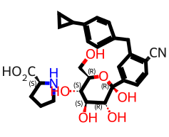 N#Cc1ccc([C@@]2(O)O[C@H](CO)[C@@H](O)[C@H](O)[C@H]2O)cc1Cc1ccc(C2CC2)cc1.O=C(O)[C@@H]1CCCN1